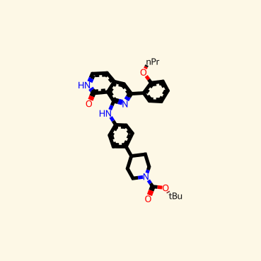 CCCOc1ccccc1-c1cc2cc[nH]c(=O)c2c(Nc2ccc(C3CCN(C(=O)OC(C)(C)C)CC3)cc2)n1